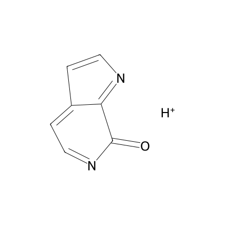 O=C1N=CC=C2C=CN=C12.[H+]